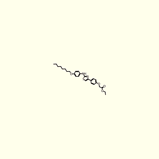 CCCCCCCCOc1ccc(Nc2nc(-c3ccc(OCC(=O)OCC)cc3)cs2)cc1